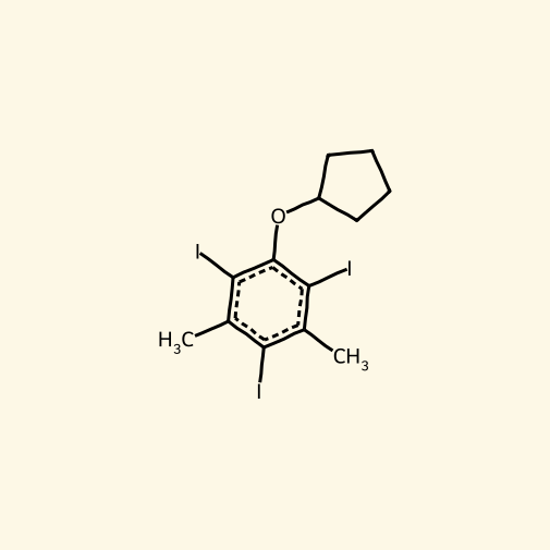 Cc1c(I)c(C)c(I)c(OC2CCCC2)c1I